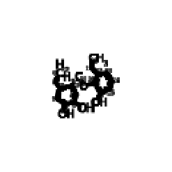 C=Cc1ccc(O)c(O)c1.CCc1cccc(O)c1OC